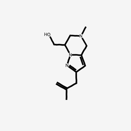 C=C(C)Cc1cc2n(n1)C(CO)CN(C)C2